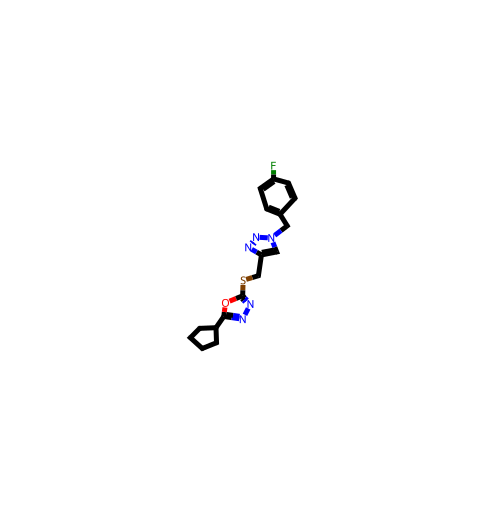 Fc1ccc(Cn2cc(CSc3nnc(C4CCCC4)o3)nn2)cc1